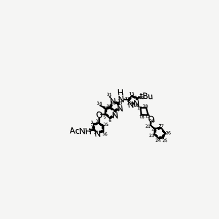 CC(=O)Nc1cc(Oc2cnc3nc(Nc4cc(C(C)(C)C)n([C@H]5C[C@H](OCc6ccccc6)C5)n4)n(C)c3c2C)ccn1